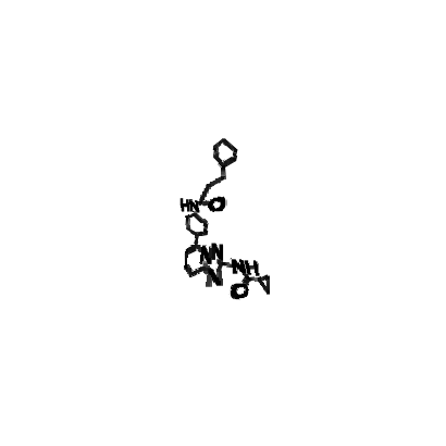 O=C(CCc1ccccc1)Nc1ccc(-c2cccc3nc(NC(=O)C4CC4)nn23)cc1